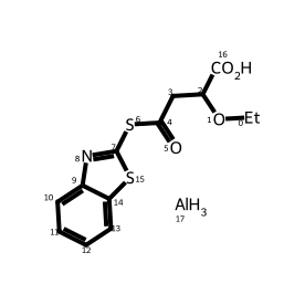 CCOC(CC(=O)Sc1nc2ccccc2s1)C(=O)O.[AlH3]